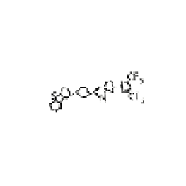 FC(F)(F)c1cc(-c2ccc3cc(-c4ccc(-c5ccc6sc7ccccc7c6c5)cc4)cnc3c2)cc(C(F)(F)F)c1